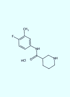 Cc1cc(NC(=O)C2CCCNC2)ccc1F.Cl